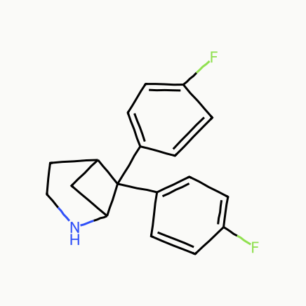 Fc1ccc(C2(c3ccc(F)cc3)C3CCNC2C3)cc1